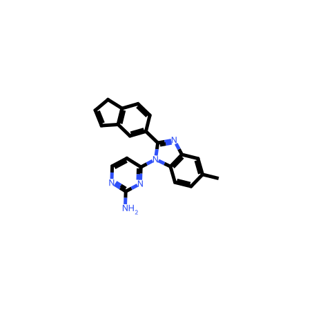 Cc1ccc2c(c1)nc(-c1ccc3c(c1)C=CC3)n2-c1ccnc(N)n1